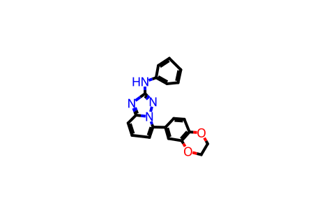 c1ccc(Nc2nc3cccc(-c4ccc5c(c4)OCCO5)n3n2)cc1